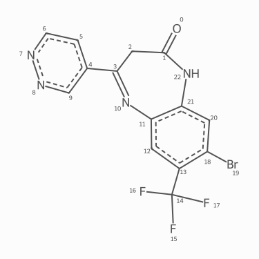 O=C1CC(c2ccnnc2)=Nc2cc(C(F)(F)F)c(Br)cc2N1